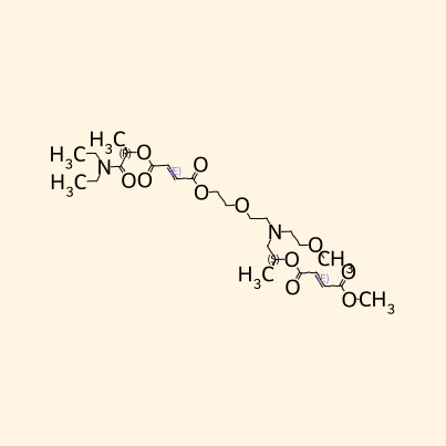 CCN(CC)C(=O)[C@@H](C)OC(=O)/C=C/C(=O)OCCOCCN(CCOC)C[C@H](C)OC(=O)/C=C/C(=O)OC